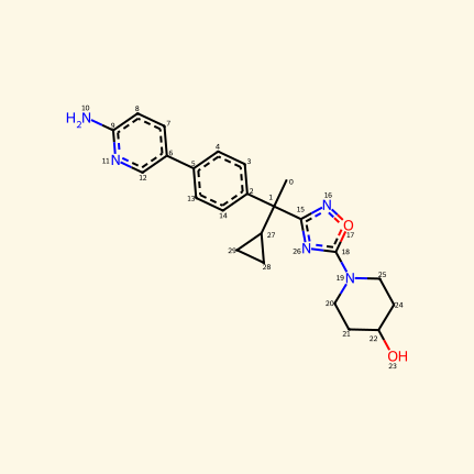 CC(c1ccc(-c2ccc(N)nc2)cc1)(c1noc(N2CCC(O)CC2)n1)C1CC1